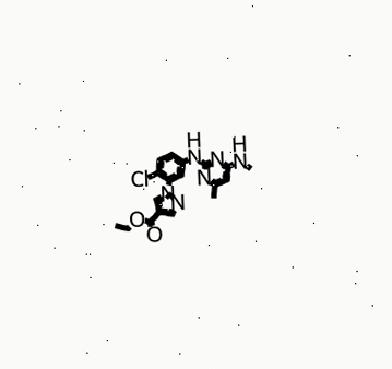 CCOC(=O)c1cnn(-c2cc(Nc3nc(C)cc(NC)n3)ccc2Cl)c1